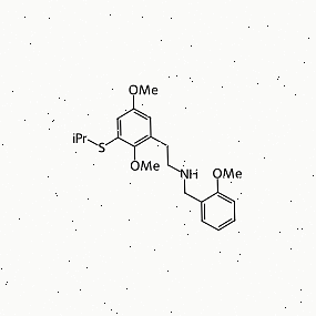 COc1cc(CCNCc2ccccc2OC)c(OC)c(SC(C)C)c1